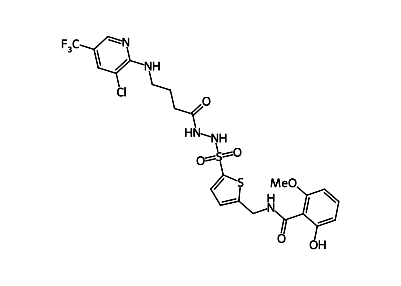 COc1cccc(O)c1C(=O)NCc1ccc(S(=O)(=O)NNC(=O)CCCNc2ncc(C(F)(F)F)cc2Cl)s1